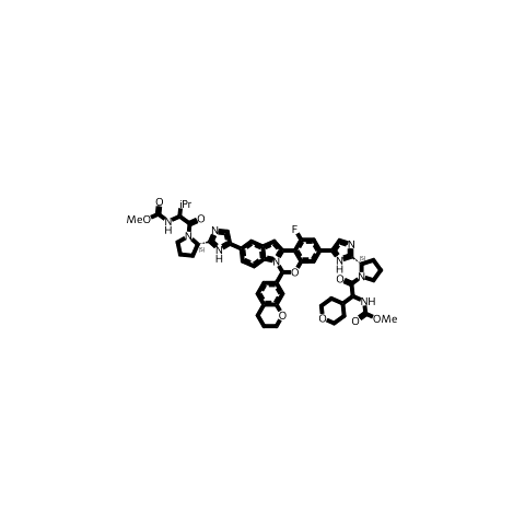 COC(=O)NC(C(=O)N1CCC[C@H]1c1ncc(-c2ccc3c(c2)cc2n3C(c3ccc4c(c3)OCCC4)Oc3cc(-c4cnc([C@@H]5CCCN5C(=O)C(NC(=O)OC)C5CCOCC5)[nH]4)cc(F)c3-2)[nH]1)C(C)C